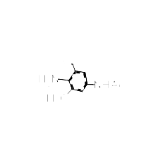 CC(=O)Nc1cc(C)c(N)c(Cl)c1